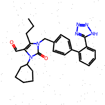 CCCc1c(C=O)n(C2CCCCC2)c(=O)n1Cc1ccc(-c2ccccc2-c2nnn[nH]2)cc1